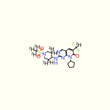 [2H]C(F)(F)c1cc2cnc(NC3C([2H])([2H])CN(S(=O)(=O)C([2H])([2H])[2H])CC3([2H])[2H])nc2n(C2CCCC2)c1=O